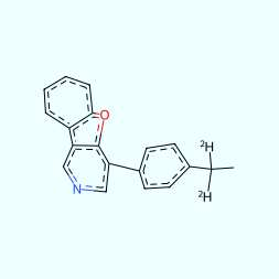 [2H]C([2H])(C)c1ccc(-c2cncc3c2oc2ccccc23)cc1